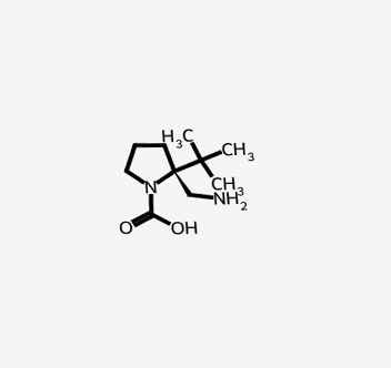 CC(C)(C)[C@@]1(CN)CCCN1C(=O)O